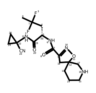 CC(F)(F)C[C@H](NC(=O)C1=NOC2(CCCNC2)C1)C(=O)NC1(C#N)CC1